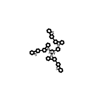 c1cc(-c2cc(-n3c4ccccc4c4cc(-c5ccc6c(c5)sc5ccccc56)ccc43)nc(-n3c4ccccc4c4cc(-c5ccc6c(c5)sc5ccccc56)ccc43)n2)cc(-n2c3ccccc3c3cc(-c4ccc5c(c4)sc4ccccc45)ccc32)c1